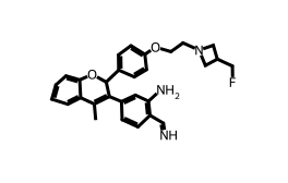 CC1=C(c2ccc(C=N)c(N)c2)C(c2ccc(OCCN3CC(CF)C3)cc2)Oc2ccccc21